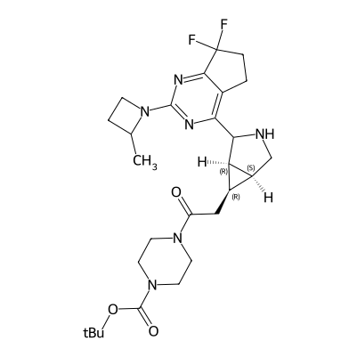 CC1CCN1c1nc(C2NC[C@H]3[C@@H](CC(=O)N4CCN(C(=O)OC(C)(C)C)CC4)[C@@H]23)c2c(n1)C(F)(F)CC2